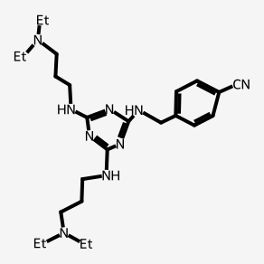 CCN(CC)CCCNc1nc(NCCCN(CC)CC)nc(NCc2ccc(C#N)cc2)n1